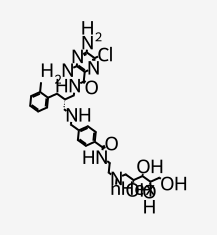 CCCCCCN(CCNC(=O)c1ccc(CNC[C@@H](CNC(=O)c2nc(Cl)c(N)nc2N)Cc2ccccc2C)cc1)C[C@H](O)[C@@H](O)[C@H](O)CO